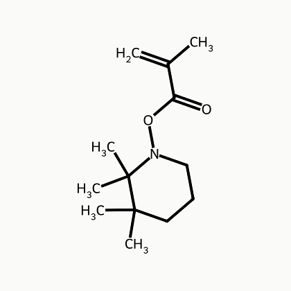 C=C(C)C(=O)ON1CCCC(C)(C)C1(C)C